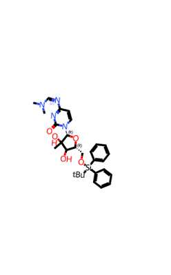 CN(C)/C=N\c1ccn([C@@H]2O[C@H](CO[Si](c3ccccc3)(c3ccccc3)C(C)(C)C)C(O)C2(C)O)c(=O)n1